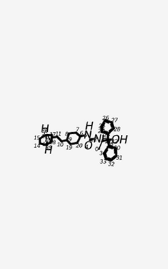 C[C@@H](NC(=O)NC1CCC(CCN2[C@H]3CC[C@H]2CC3)CC1)C(O)(c1ccccc1)c1ccccc1